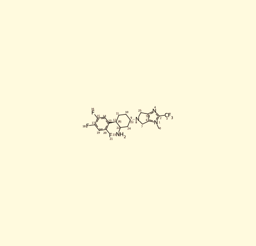 Cn1c(C(F)(F)F)nc2c1CN([C@H]1CC[C@H](c3cc(F)c(F)cc3F)C(N)C1)C2